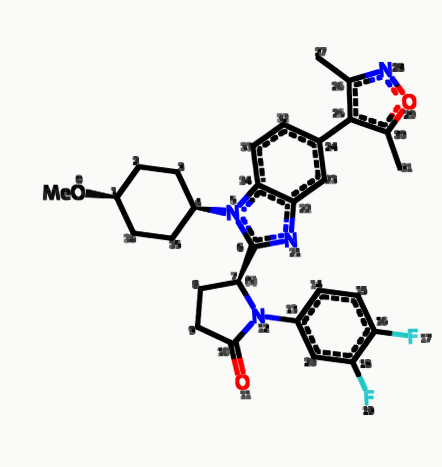 CO[C@H]1CC[C@@H](n2c([C@@H]3CCC(=O)N3c3ccc(F)c(F)c3)nc3cc(-c4c(C)noc4C)ccc32)CC1